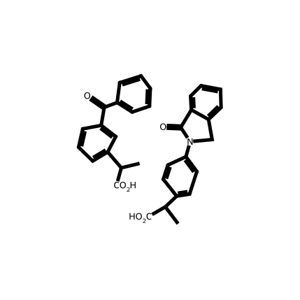 CC(C(=O)O)c1ccc(N2Cc3ccccc3C2=O)cc1.CC(C(=O)O)c1cccc(C(=O)c2ccccc2)c1